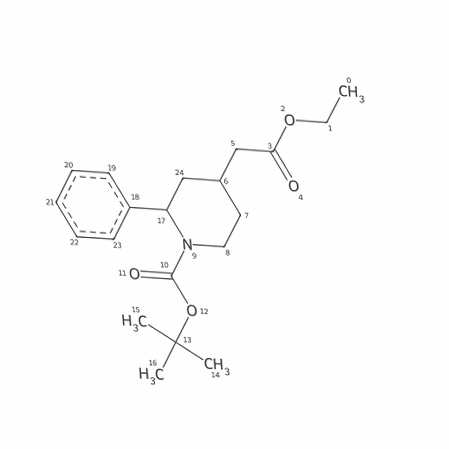 CCOC(=O)CC1CCN(C(=O)OC(C)(C)C)C(c2ccccc2)C1